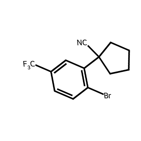 N#CC1(c2cc(C(F)(F)F)ccc2Br)CCCC1